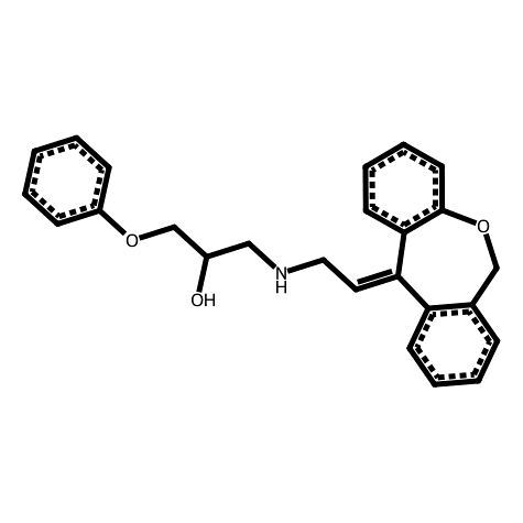 OC(CNCC=C1c2ccccc2COc2ccccc21)COc1ccccc1